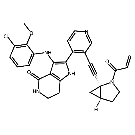 C=CC(=O)N1CC[C@H]2C[C@]21C#Cc1cnccc1-c1[nH]c2c(c1Nc1cccc(Cl)c1OC)C(=O)NCC2